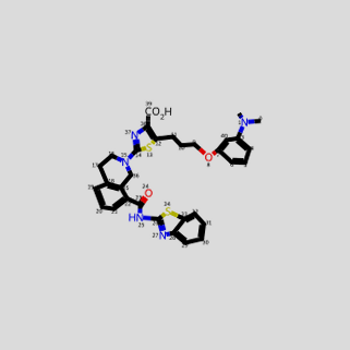 CN(C)c1cccc(OCCCc2sc(N3CCc4cccc(C(=O)Nc5nc6ccccc6s5)c4C3)nc2C(=O)O)c1